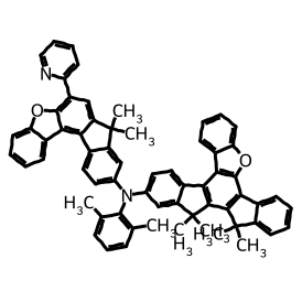 Cc1cccc(C)c1N(c1ccc2c(c1)C(C)(C)c1cc(-c3ccccn3)c3oc4ccccc4c3c1-2)c1ccc2c(c1)C(C)(C)c1c3c(c4oc5ccccc5c4c1-2)-c1ccccc1C3(C)C